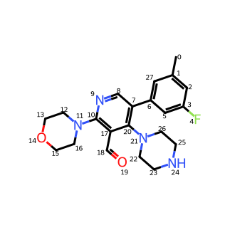 Cc1cc(F)cc(-c2cnc(N3CCOCC3)c(C=O)c2N2CCNCC2)c1